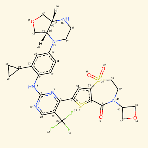 O=C1c2sc(-c3nc(Nc4ccc(N5CCN[C@H]6COC[C@H]65)cc4C4CC4)ncc3C(F)(F)F)cc2S(=O)(=O)CCN1C1COC1